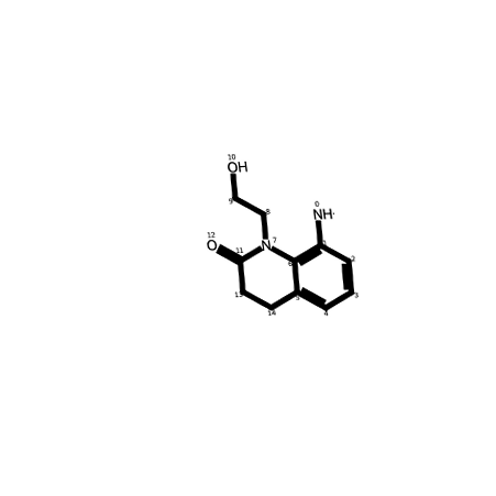 [NH]c1cccc2c1N(CCO)C(=O)CC2